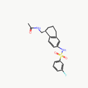 CC(=O)NC[C@H]1CCCc2cc(NS(=O)(=O)c3cccc(F)c3)ccc21